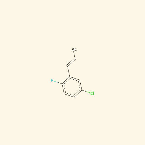 CC(=O)C=Cc1cc(Cl)ccc1F